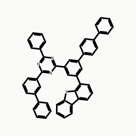 c1ccc(-c2ccc(-c3cc(-c4nc(-c5ccccc5)nc(-c5cccc(-c6ccccc6)c5)n4)cc(-c4cccc5c4sc4ccccc45)c3)cc2)cc1